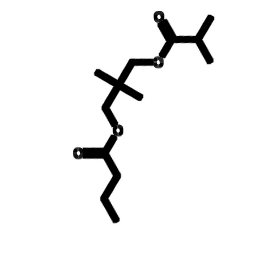 CCCC(=O)OCC(C)(C)COC(=O)C(C)C